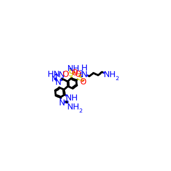 NCCCCNS(=O)(=O)c1ccc(-c2cccc3nc(N)[nH]c23)c(-c2nn[nH]n2)c1S(N)(=O)=O